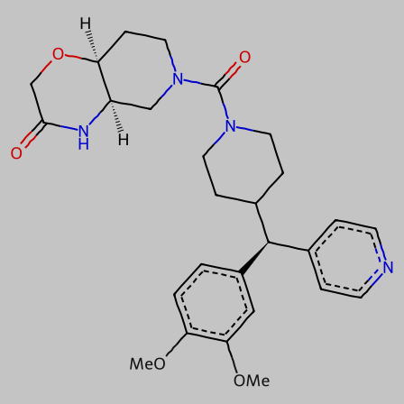 COc1ccc([C@H](c2ccncc2)C2CCN(C(=O)N3CC[C@@H]4OCC(=O)N[C@@H]4C3)CC2)cc1OC